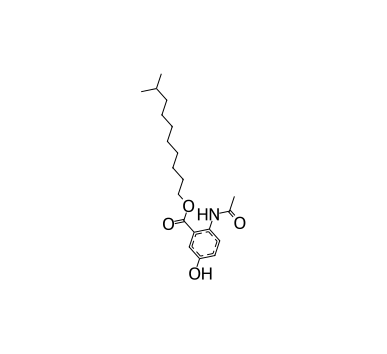 CC(=O)Nc1ccc(O)cc1C(=O)OCCCCCCCCC(C)C